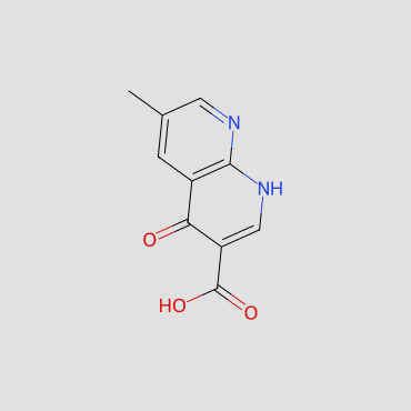 Cc1cnc2[nH]cc(C(=O)O)c(=O)c2c1